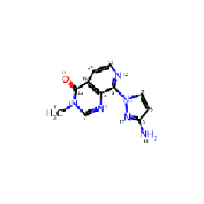 Cn1cnc2c(-n3ccc(N)n3)nccc2c1=O